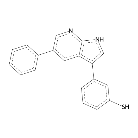 Sc1cccc(-c2c[nH]c3ncc(-c4ccccc4)cc23)c1